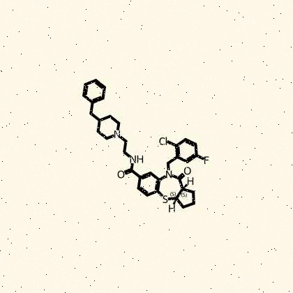 O=C(NCCN1CCC(Cc2ccccc2)CC1)c1ccc2c(c1)N(Cc1cc(F)ccc1Cl)C(=O)[C@@H]1CCC[C@@H]1S2